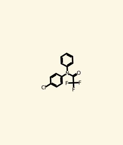 O=C(N(c1ccccc1)c1ccc(Cl)cc1)C(F)(F)F